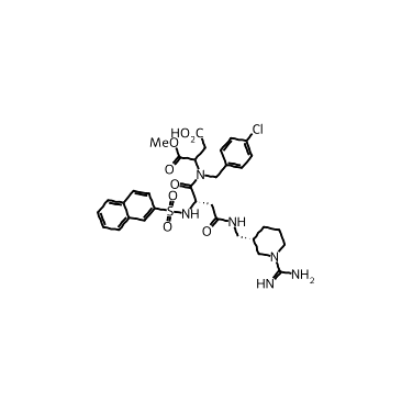 COC(=O)C(CC(=O)O)N(Cc1ccc(Cl)cc1)C(=O)[C@H](CC(=O)NC[C@@H]1CCCN(C(=N)N)C1)NS(=O)(=O)c1ccc2ccccc2c1